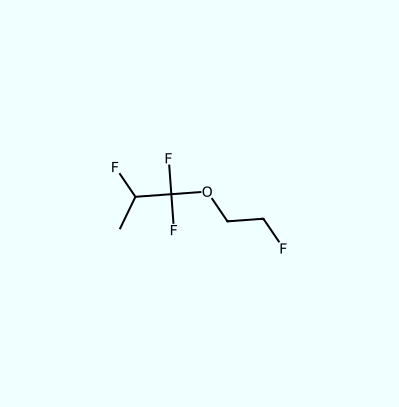 CC(F)C(F)(F)OCCF